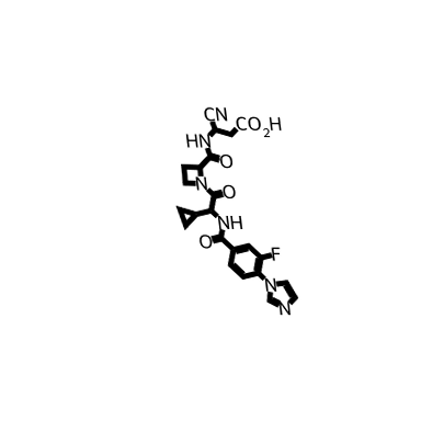 N#CC(CC(=O)O)NC(=O)C1CCN1C(=O)C(NC(=O)c1ccc(-n2ccnc2)c(F)c1)C1CC1